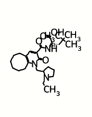 CCN1CCCC1Cn1c2c(cc(C(=O)N[C@@H](CC(C)(C)C)C(=O)O)c1=O)CCCCCC2